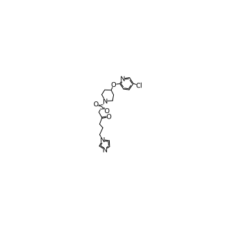 O=C(CCCn1ccnc1)CS(=O)(=O)N1CCC(Oc2ccc(Cl)cn2)CC1